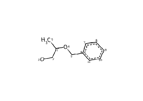 CC(C[O])OCc1ccccc1